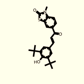 Cn1c(=O)sc2cc(C(=O)C=Cc3cc(C(C)(C)C)c(O)c(C(C)(C)C)c3)ccc21